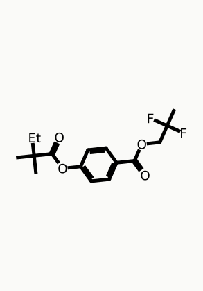 CCC(C)(C)C(=O)Oc1ccc(C(=O)OCC(C)(F)F)cc1